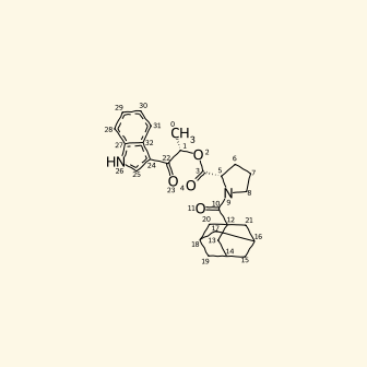 C[C@H](OC(=O)[C@@H]1CCCN1C(=O)C12CC3CC(CC(C3)C1)C2)C(=O)c1c[nH]c2ccccc12